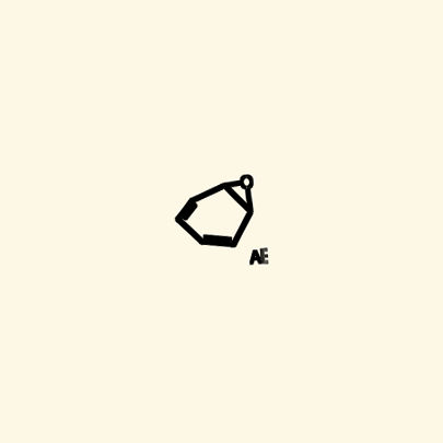 C1=CC2OC2C=C1.[Al]